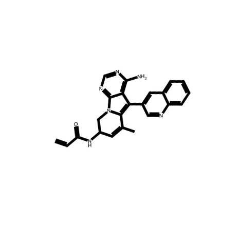 C=CC(=O)NC1C=C(C)c2c(-c3cnc4ccccc4c3)c3c(N)ncnc3n2C1